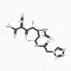 C[C@@H](NC(=O)Cn1cnnn1)[C@H]1C(=O)N[C@@H]1[C@@H](C)C(=O)C(=[N+]=[N-])C(=O)O